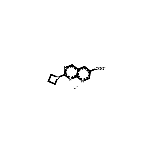 O=C([O-])c1cnc2nc(N3CCC3)ncc2c1.[Li+]